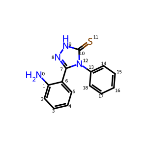 Nc1ccccc1-c1n[nH]c(=S)n1-c1ccccc1